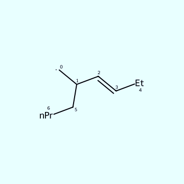 [CH2]C(/C=C/CC)CCCC